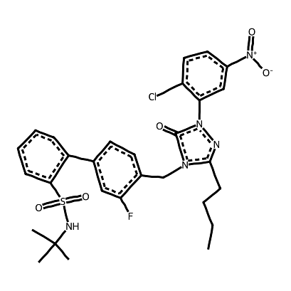 CCCCc1nn(-c2cc([N+](=O)[O-])ccc2Cl)c(=O)n1Cc1ccc(-c2ccccc2S(=O)(=O)NC(C)(C)C)cc1F